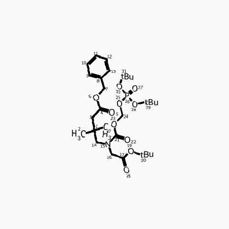 CC(C)(CC(=O)OCc1ccccc1)CN(CC(=O)OC(C)(C)C)C(=O)OCOP(=O)(OC(C)(C)C)OC(C)(C)C